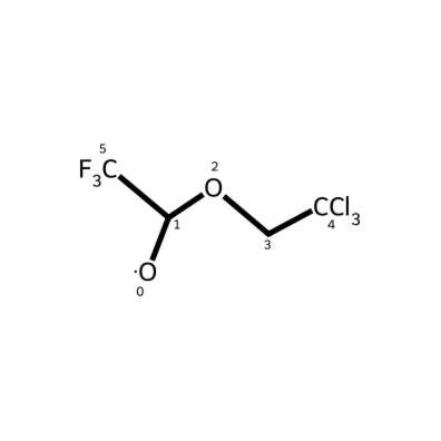 [O]C(OCC(Cl)(Cl)Cl)C(F)(F)F